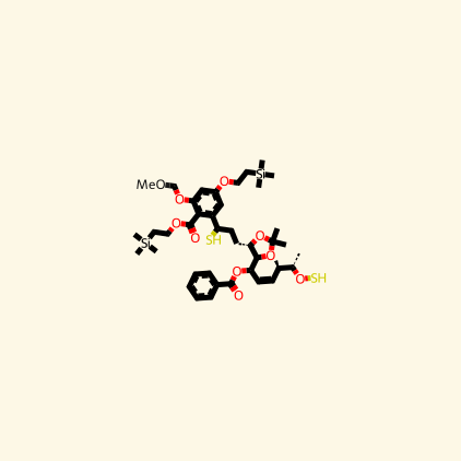 COCOc1cc(OCC[Si](C)(C)C)cc(C(S)CC[C@@H]2OC(C)(C)OC2C(/C=C\[C@@H](C)[C@H](C)OS)OC(=O)c2ccccc2)c1C(=O)OCC[Si](C)(C)C